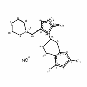 Cl.Fc1cc(F)c2c(c1)CC(n1c(CN3CCCCC3)c[nH]c1=S)CC2